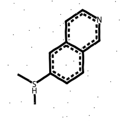 C[SH](C)c1ccc2cnccc2c1